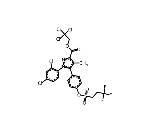 Cc1c(C(=O)OCC(Cl)(Cl)Cl)nn(-c2ccc(Cl)cc2Cl)c1-c1ccc(OS(=O)(=O)CCC(F)(F)F)cc1